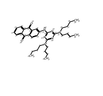 CCCCN(CCCC)c1nc(Nc2ccc3c(c2)C(=O)c2ccccc2C3=O)nc(N(CCCC)CCCC)n1